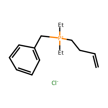 C=CCC[P+](CC)(CC)Cc1ccccc1.[Cl-]